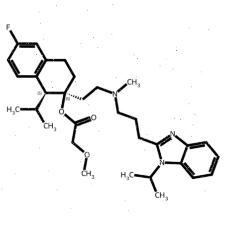 COCC(=O)O[C@]1(CCN(C)CCCc2nc3ccccc3n2C(C)C)CCc2cc(F)ccc2[C@@H]1C(C)C